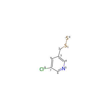 [S]SCc1cncc(Cl)c1